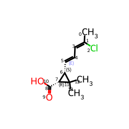 CC(Cl)=C/C=C/[C@H]1[C@@H](C(=O)O)C1(C)C